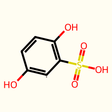 O=S(=O)(O)c1[c]c(O)ccc1O